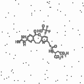 N=C(N)Nc1ccc2c(c1)CCc1nc(CCC(=O)NC(CC(=O)O)C(=O)O)ccc1OC2=O.O=C(O)C(F)(F)F